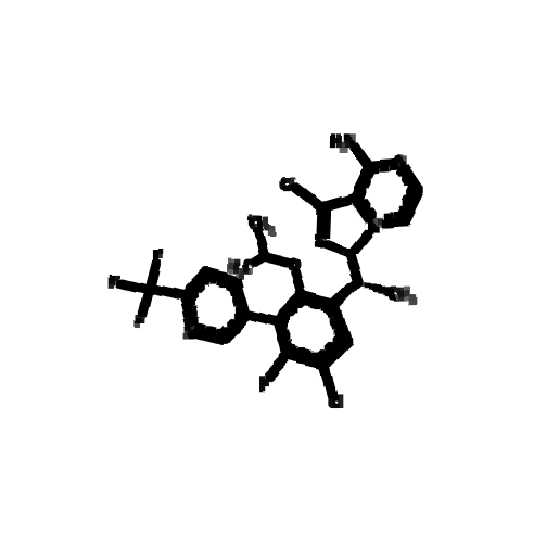 CC(C)Oc1c([C@@H](C)C2N=C(Cl)c3c(N)ncc[n+]32)cc(Cl)c(F)c1-c1ccc(C(F)(F)F)nc1